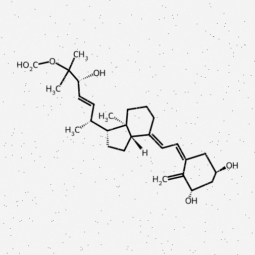 C=C1/C(=C\C=C2/CCC[C@]3(C)[C@@H]([C@H](C)/C=C/[C@@H](O)C(C)(C)OC(=O)O)CC[C@@H]23)C[C@@H](O)C[C@@H]1O